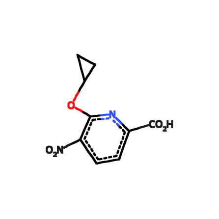 O=C(O)c1ccc([N+](=O)[O-])c(OC2CC2)n1